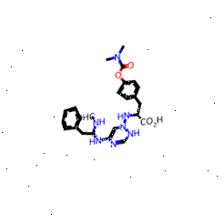 CN(C)C(=O)Oc1ccc(C[C@H](NN2C=C(NC(Cc3ccccc3)NC=O)N=CN2)C(=O)O)cc1